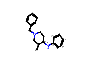 CC1CN(Cc2ccccc2)CCC1Nc1ccccc1